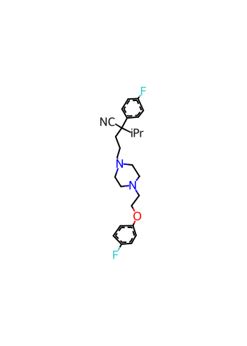 CC(C)C(C#N)(CCCN1CCN(CCOc2ccc(F)cc2)CC1)c1ccc(F)cc1